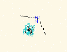 CCCCCCCCCCCCCCCCCC=Cc1ccc([NH+](C)CCCCCCCCCCCCCCCCCC)cc1.Fc1c(F)c(F)c2c(F)c([B-](c3c(F)c(F)c4c(F)c(F)c(F)c(F)c4c3F)(c3c(F)c(F)c4c(F)c(F)c(F)c(F)c4c3F)c3c(F)c(F)c4c(F)c(F)c(F)c(F)c4c3F)c(F)c(F)c2c1F